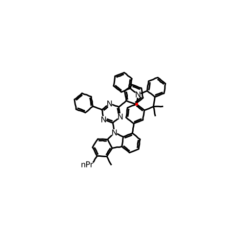 CCCc1ccc2c(c1C)c1cccc(-c3ccc4c(c3)C(C)(C)c3ccccc3N4c3ccccc3)c1n2-c1nc(-c2ccccc2)nc(-c2ccccc2)n1